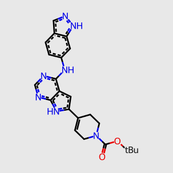 CC(C)(C)OC(=O)N1CC=C(c2cc3c(Nc4ccc5cn[nH]c5c4)ncnc3[nH]2)CC1